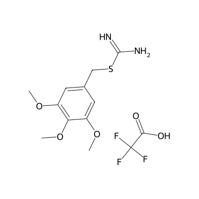 COc1cc(CSC(=N)N)cc(OC)c1OC.O=C(O)C(F)(F)F